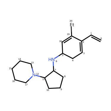 C=CC1=CCC(NC2CCCC2N2CCCCC2)C=C1CC